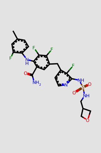 Cc1ccc(Nc2c(C(N)=O)cc(Cc3ccnc(NS(=O)(=O)NCC4COC4)c3F)c(F)c2F)c(F)c1